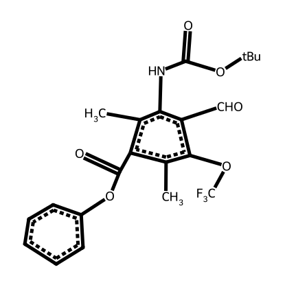 Cc1c(NC(=O)OC(C)(C)C)c(C=O)c(OC(F)(F)F)c(C)c1C(=O)Oc1ccccc1